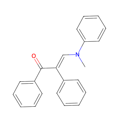 CN(/C=C(/C(=O)c1ccccc1)c1ccccc1)c1ccccc1